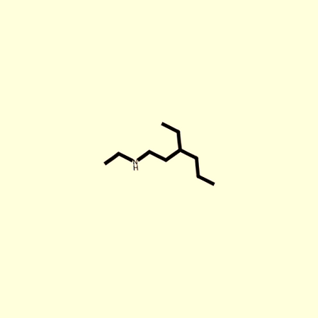 CCCC(CC)CCNCC